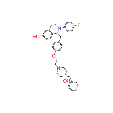 Oc1ccc2c(c1)CCN(c1ccc(F)cc1)C2Cc1ccc(OCCN2CCC(O)(Cc3ccccc3)CC2)cc1